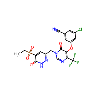 CCS(=O)(=O)c1cc(Cn2cnc(C(F)(F)F)c(Oc3cc(Cl)cc(C#N)c3)c2=O)n[nH]c1=O